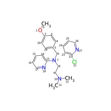 COc1ccc(CN(CCN(C)C)c2ccccn2)cc1.Clc1ccccn1